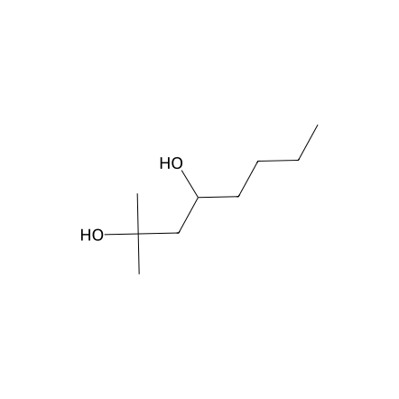 CCCCC(O)CC(C)(C)O